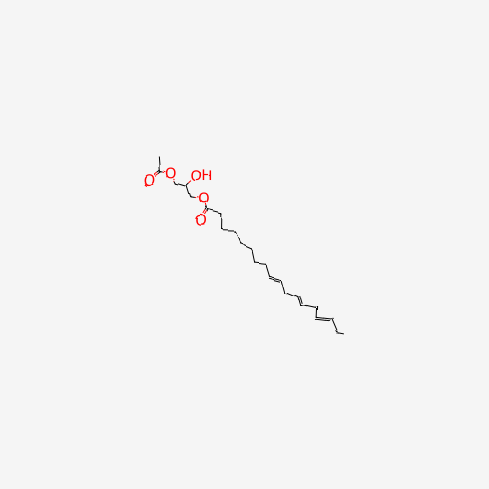 CCC=CCC=CCC=CCCCCCCCC(=O)OCC(O)COC(C)=O